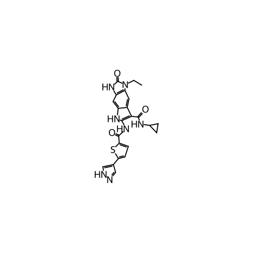 CCn1c(=O)[nH]c2cc3[nH]c(NC(=O)c4ccc(-c5cn[nH]c5)s4)c(C(=O)NC4CC4)c3cc21